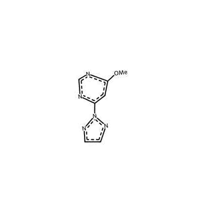 COc1cc(-n2nccn2)ncn1